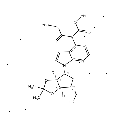 CC(C)(C)OC(=O)N(C(=O)OC(C)(C)C)c1ncnc2c1ccn2[C@@H]1C[C@H](CO)[C@H]2OC(C)(C)O[C@H]21